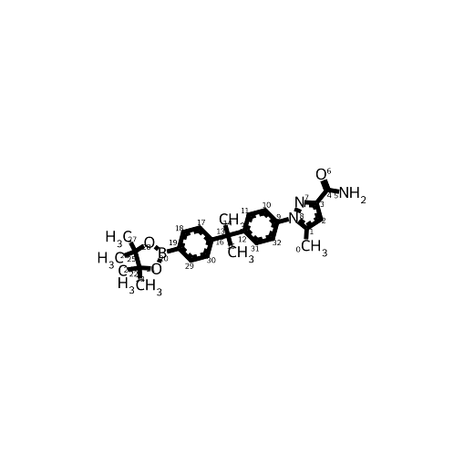 Cc1cc(C(N)=O)nn1-c1ccc(C(C)(C)c2ccc(B3OC(C)(C)C(C)(C)O3)cc2)cc1